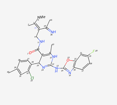 CN/C(C)=C(/CNC(=O)C1=C(C)NC(Nc2nc3ccc(F)cc3o2)=NC1c1ccc(C)cc1Cl)C(C)=N